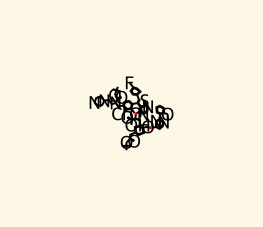 COc1ccccc1-c1nccc(COc2ccc(CC(=O)OC(C)(C)C)cc2CC(Oc2ncnc3sc(-c4ccc(F)cc4)c(-c4ccc(CN(CCN5CCN(C)CC5)C(=O)OC(C)(C)C)c(Cl)c4C)c23)C(=O)O)n1